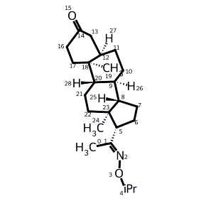 C/C(=N\OC(C)C)[C@H]1CC[C@H]2[C@@H]3CC[C@@H]4CC(=O)CC[C@]4(C)[C@H]3CC[C@]12C